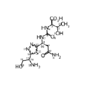 CC(O)C(NC(=O)N[C@@H](CC(N)=O)c1nnc([C@@H](N)CO)s1)C(=O)O